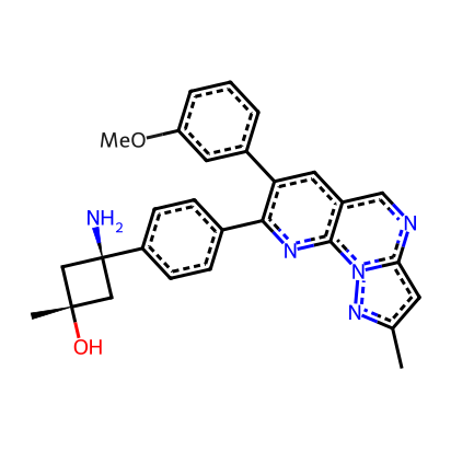 COc1cccc(-c2cc3cnc4cc(C)nn4c3nc2-c2ccc([C@]3(N)C[C@](C)(O)C3)cc2)c1